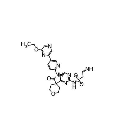 CCOc1cncc(-c2ccc(NC(=O)C3(c4ccnc(NS(=O)(=O)CC=N)n4)CCOCC3)nc2)n1